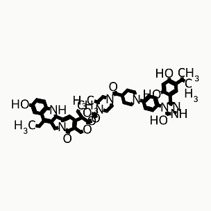 CCC1=C2Cn3c(cc4c(c3=O)COC(=O)C4(CC)OC(=O)N3CCN(C(=O)C4CCN(c5ccc(N6C(c7cc(C(C)C)c(O)cc7O)=NNC6O)cc5)CC4)CC3C)C2Nc2ccc(O)cc21